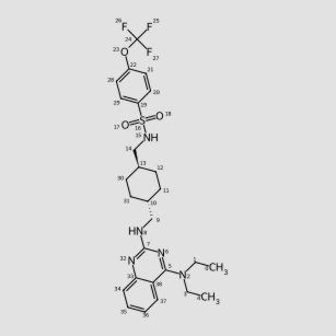 CCN(CC)c1nc(NC[C@H]2CC[C@H](CNS(=O)(=O)c3ccc(OC(F)(F)F)cc3)CC2)nc2ccccc12